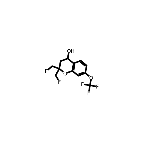 OC1CC(CF)(CF)Oc2cc(OC(F)(F)F)ccc21